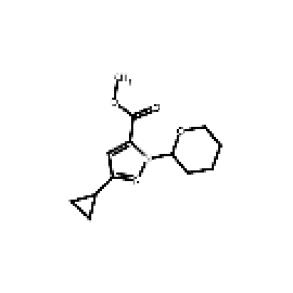 COC(=O)c1cc(C2CC2)nn1C1CCCCO1